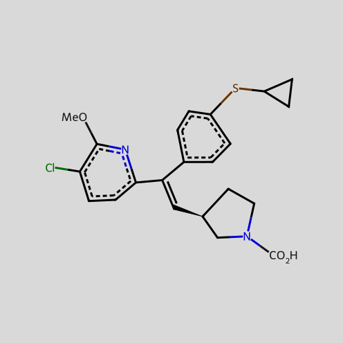 COc1nc(C(=C[C@H]2CCN(C(=O)O)C2)c2ccc(SC3CC3)cc2)ccc1Cl